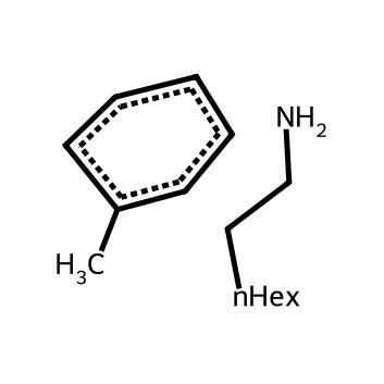 CCCCCCCCN.Cc1ccccc1